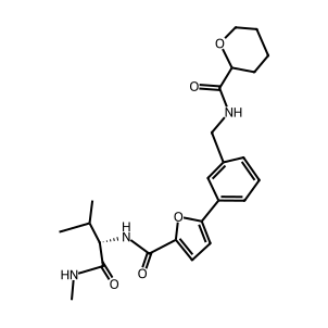 CNC(=O)[C@@H](NC(=O)c1ccc(-c2cccc(CNC(=O)C3CCCCO3)c2)o1)C(C)C